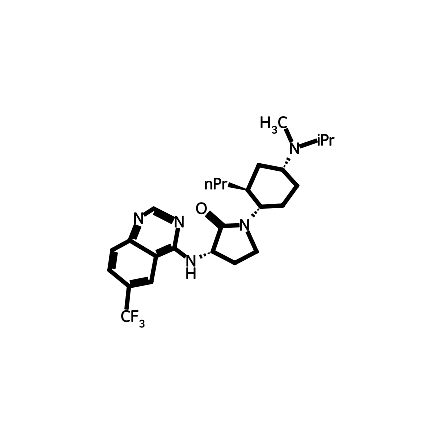 CCC[C@H]1C[C@H](N(C)C(C)C)CC[C@@H]1N1CC[C@H](Nc2ncnc3ccc(C(F)(F)F)cc23)C1=O